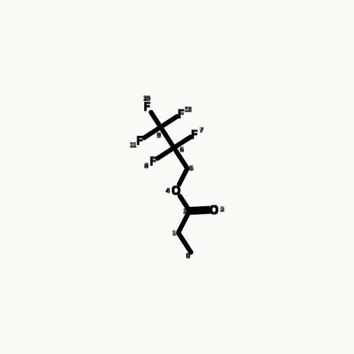 CCC(=O)OCC(F)(F)C(F)(F)F